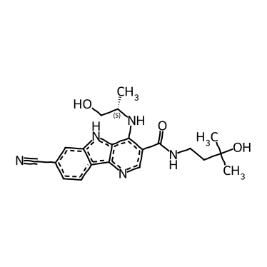 C[C@@H](CO)Nc1c(C(=O)NCCC(C)(C)O)cnc2c1[nH]c1cc(C#N)ccc12